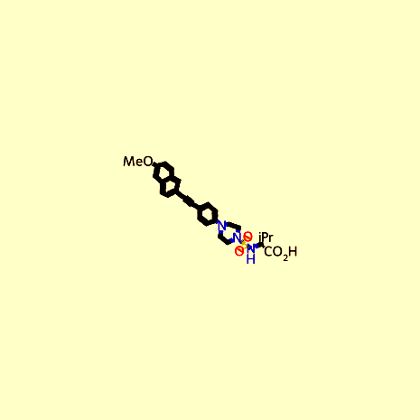 COc1ccc2cc(C#Cc3ccc(N4CCN(S(=O)(=O)N[C@H](C(=O)O)C(C)C)CC4)cc3)ccc2c1